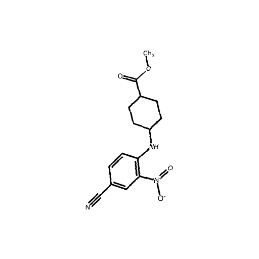 COC(=O)C1CCC(Nc2ccc(C#N)cc2[N+](=O)[O-])CC1